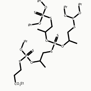 CCOC(=O)CCSP(=S)(OC(C)C)OC(C)CSP(=S)(OC(C)CSP(OC(C)C)OC(C)C)OC(C)CSP(=S)(OC(C)C)OC(C)C